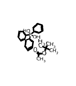 CC(=O)OC(C)(C)C.OP(O)(c1ccccc1)(c1ccccc1)c1ccccc1